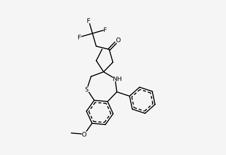 CCC1(CC(=O)CC(F)(F)F)CSc2cc(OC)ccc2C(c2ccccc2)N1